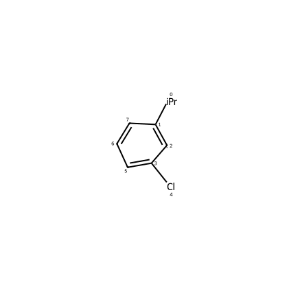 CC(C)c1[c]c(Cl)ccc1